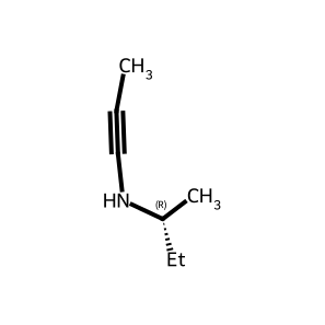 CC#CN[C@H](C)CC